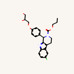 CCCOC(=O)N1CCc2c([nH]c3ccc(Cl)cc23)C1c1ccc(OCC(O)CO)cc1